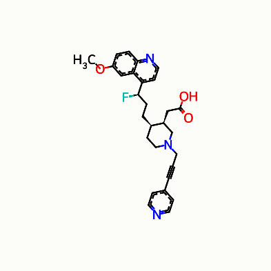 COc1ccc2nccc([C@H](F)CC[C@@H]3CCN(CC#Cc4ccncc4)C[C@@H]3CC(=O)O)c2c1